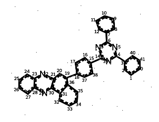 c1ccc(-c2nc(-c3ccccc3)nc(-c3ccc(-c4cc5nc6ccccc6nc5c5ccccc45)cc3)n2)cc1